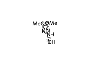 COc1cc2ncc(NCCCO)nc2cc1OC